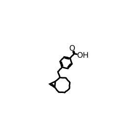 O=C(O)c1ccc(CC2CCCCCC3=CC32)cc1